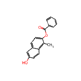 Cc1c(OC(=O)c2ccccc2)ccc2cc(O)ccc12